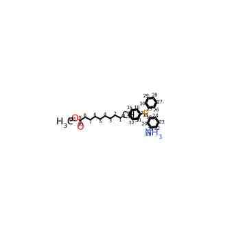 CCCCCCCCCC(=O)OC.N.c1ccc(P(c2ccccc2)c2ccccc2)cc1